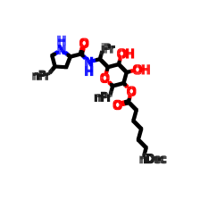 CCCCCCCCCCCCCCCC(=O)OC1C(CCC)OC(C(NC(=O)C2CC(CCC)CN2)C(C)C)C(O)C1O